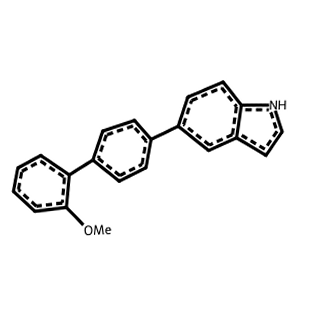 COc1ccccc1-c1ccc(-c2ccc3[nH]ccc3c2)cc1